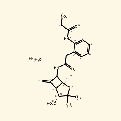 CC1(C)S[C@@H]2C(NC(=O)Cc3ccccc3NC(=O)C[N+](=O)[O-])C(=O)N2[C@H]1C(=O)O.O.[NaH]